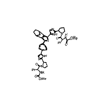 COC(=O)NC(C(=O)N1CCCC1c1ncc(-c2ccc(-c3sc(-c4cnc(C5CCCN5C(=O)C(NC(=O)OC)C(C)C)[nH]4)c4c3C3CCC4C3)cc2)[nH]1)C(C)C